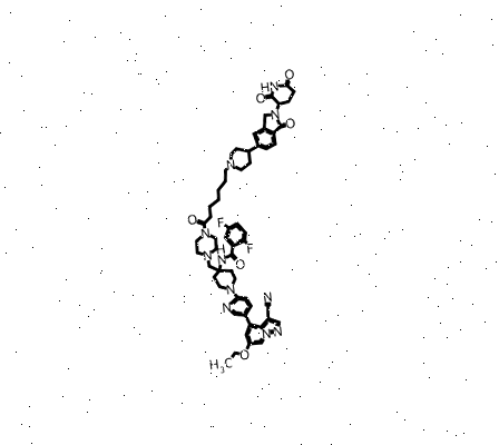 CCOc1cc(-c2ccc(N3CCC(CN4CCN(C(=O)CCCCCCN5CCC(c6ccc7c(c6)CN(C6CCC(=O)NC6=O)C7=O)CC5)CC4)(NC(=O)c4cc(F)ccc4F)CC3)nc2)c2c(C#N)cnn2c1